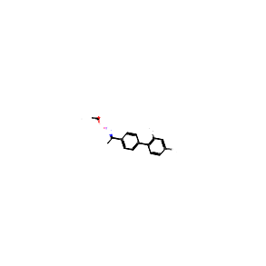 CCCC(=O)O/N=C(\C)c1ccc(-c2ccc([N+](=O)[O-])cc2[N+](=O)[O-])cc1